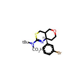 CC(C)(C)N(C(=O)O)C1=N[C@@]2(c3cccc(Br)c3)CCOCC2CS1